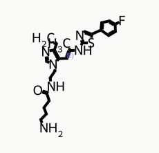 C=Cc1ncn(CCNC(=O)CCCCN)c1/C=C(\C)Nc1ncc(-c2ccc(F)cc2)s1